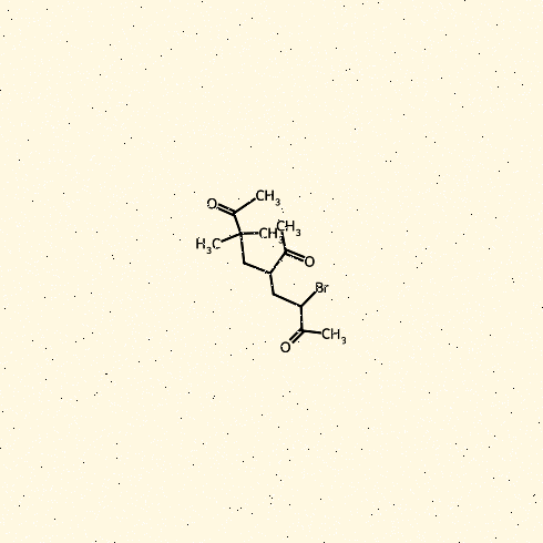 CC(=O)C(Br)CC(CC(C)(C)C(C)=O)C(C)=O